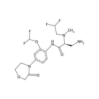 CN(CC(F)F)[C@@H](CN)C(=O)Nc1ccc(N2CCOCC2=O)cc1OC(F)F